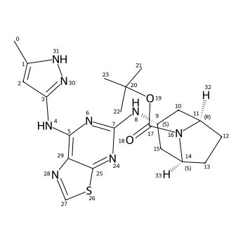 Cc1cc(Nc2nc(N[C@@H]3C[C@H]4CC[C@@H](C3)N4C(=O)OC(C)(C)C)nc3scnc23)n[nH]1